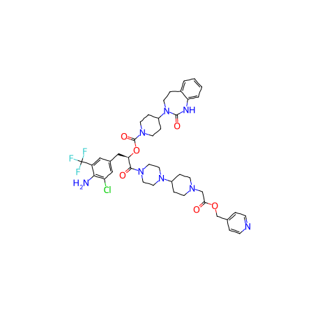 Nc1c(Cl)cc(C[C@@H](OC(=O)N2CCC(N3CCc4ccccc4NC3=O)CC2)C(=O)N2CCN(C3CCN(CC(=O)OCc4ccncc4)CC3)CC2)cc1C(F)(F)F